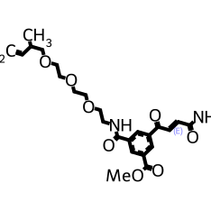 C=CC(C)COCCOCCOCCNC(=O)c1cc(C(=O)/C=C/C(N)=O)cc(C(=O)OC)c1